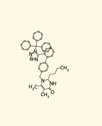 CCCCC1NC(=O)C(C)=C(C)N1Cc1ccc(-c2ccccc2-c2nnnn2C(c2ccccc2)(c2ccccc2)c2ccccc2)cc1